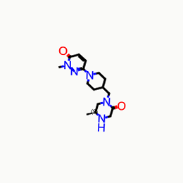 C[C@H]1CN(CC2CCN(c3ccc(=O)n(C)n3)CC2)C(=O)CN1